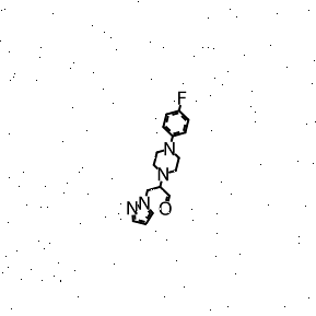 O=CC(Cn1cccn1)N1CCN(c2ccc(F)cc2)CC1